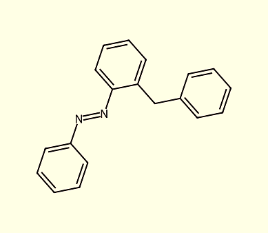 c1ccc(Cc2ccccc2/N=N/c2ccccc2)cc1